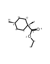 CCOC(=O)[C@]1(C)CC[C@@H](C)CC1